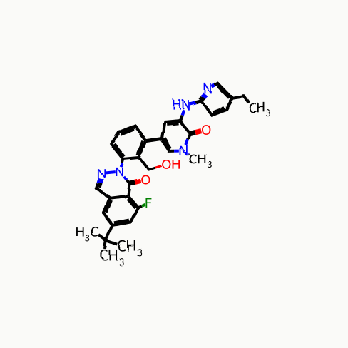 CCc1ccc(Nc2cc(-c3cccc(-n4ncc5cc(C(C)(C)C)cc(F)c5c4=O)c3CO)cn(C)c2=O)nc1